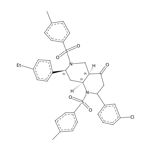 CCc1ccc([C@@H]2C[C@H]3[C@@H](CN2S(=O)(=O)c2ccc(C)cc2)C(=O)CC(c2cccc(Cl)c2)N3S(=O)(=O)c2ccc(C)cc2)cc1